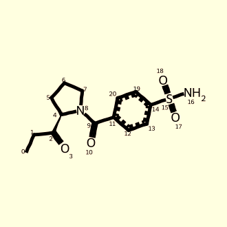 CCC(=O)[C@H]1CCCN1C(=O)c1ccc(S(N)(=O)=O)cc1